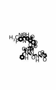 CC[C@@]1(OC(=O)CNC(=O)[C@H](Cc2ccccc2)NC(=O)CNC(=O)CNC(=O)CN2C(=O)C=CC2=O)C(=O)OCc2c1cc1n(c2=O)Cc2c-1nc1cc(F)c(C)c(N)c1c2C